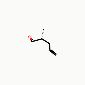 C=CC[C@@H](C)C=O